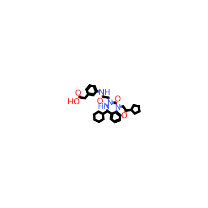 O=C(O)Cc1cccc(NC(=O)CN2NC(C3CCCCC3)c3ccccc3N(CC(=O)C3CCCC3)C2=O)c1